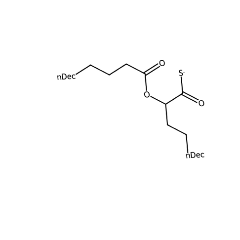 CCCCCCCCCCCCCC(=O)OC(CCCCCCCCCCCC)C(=O)[S]